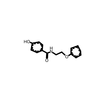 O=C(NCCOc1ccccc1)c1ccc(O)cc1